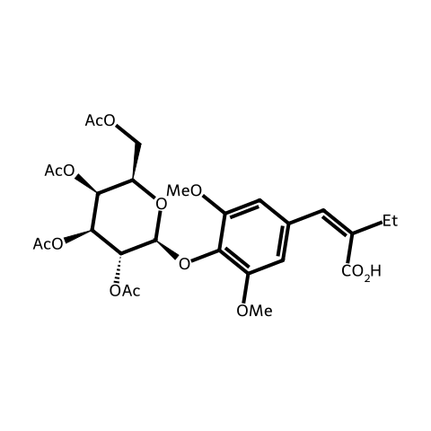 CCC(=Cc1cc(OC)c(O[C@@H]2O[C@H](COC(C)=O)[C@H](OC(C)=O)[C@H](OC(C)=O)[C@H]2OC(C)=O)c(OC)c1)C(=O)O